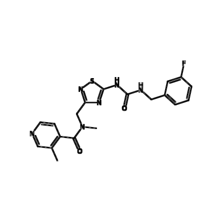 Cc1cnccc1C(=O)N(C)Cc1nsc(NC(=O)NCc2cccc(F)c2)n1